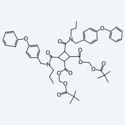 CCCN(Cc1ccc(Oc2ccccc2)cc1)C(=O)C1C(C(=O)OCOC(=O)C(C)(C)C)C(C(=O)OCOC(=O)C(C)(C)C)C1C(=O)N(CCC)Cc1ccc(Oc2ccccc2)cc1